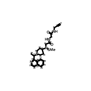 C#CCNC(=O)CNC(=O)CN(SC)C1CCN(C(C)c2nccc3ccccc23)CC1